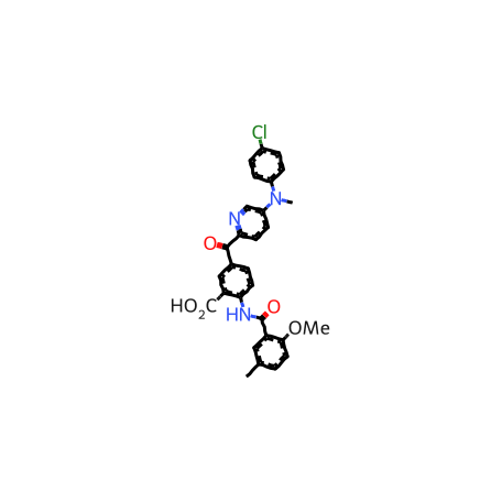 COc1ccc(C)cc1C(=O)Nc1ccc(C(=O)c2ccc(N(C)c3ccc(Cl)cc3)cn2)cc1C(=O)O